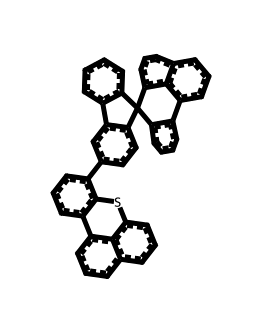 c1ccc2c(c1)-c1cc(-c3cccc4c3Sc3cccc5cccc-4c35)ccc1C21c2ccccc2-c2cccc3cccc1c23